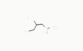 CSNCC(C)CC(C)C